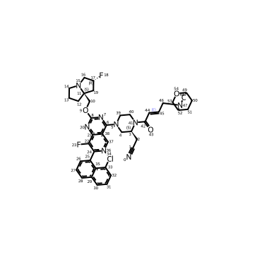 N#CC[C@H]1CN(c2nc(OC[C@@]34CCCN3C[C@H](F)C4)nc3c(F)c(-c4cccc5cccc(Cl)c45)ncc23)CCN1C(=O)/C=C/CN1CC2CCC1CO2